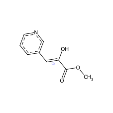 COC(=O)/C(O)=C/c1cccnc1